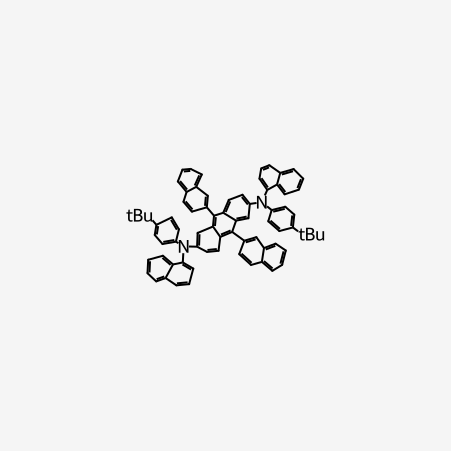 CC(C)(C)c1ccc(N(c2ccc3c(-c4ccc5ccccc5c4)c4cc(N(c5ccc(C(C)(C)C)cc5)c5cccc6ccccc56)ccc4c(-c4ccc5ccccc5c4)c3c2)c2cccc3ccccc23)cc1